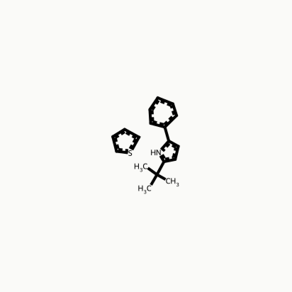 CC(C)(C)c1ccc(-c2ccccc2)[nH]1.c1ccsc1